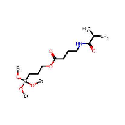 C=C(C)C(=O)NCCCC(=O)OCCC[Si](OCC)(OCC)OCC